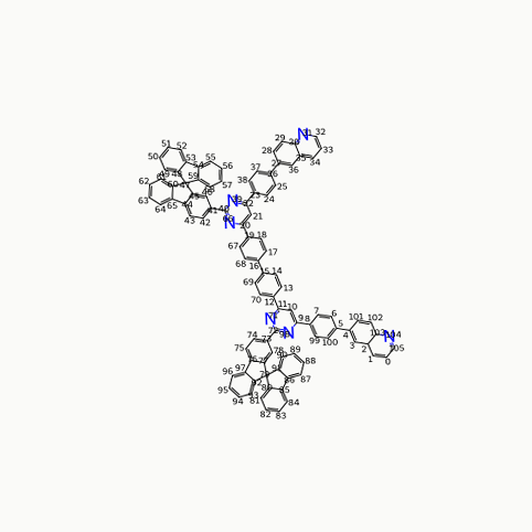 C1=CC2C=C(c3ccc(-c4cc(-c5ccc(-c6ccc(-c7cc(-c8ccc(-c9ccc%10ncccc%10c9)cc8)nc(-c8ccc9c(c8)C8(c%10ccccc%10-c%10ccccc%108)c8ccccc8-9)n7)cc6)cc5)nc(-c5ccc6c(c5)C5(c7ccccc7-c7ccccc75)c5ccccc5-6)n4)cc3)C=CC2N=C1